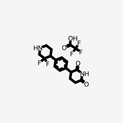 O=C(O)C(F)(F)F.O=C1CCC(c2ccc(C3CCNCC3(F)F)cc2)C(=O)N1